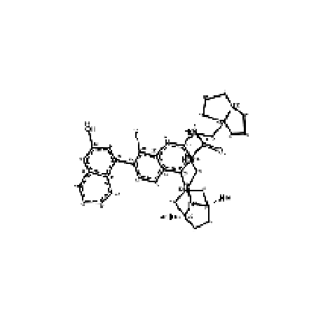 NC(=O)NCCN1[C@@H]2CC[C@H]1CN(c1nc(OCC34CCCN3CCC4)nc3c(F)c(-c4cc(O)cc5ccccc45)ccc13)C2